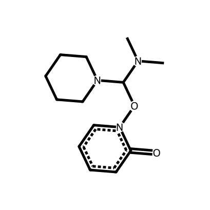 CN(C)C(On1ccccc1=O)N1CCCCC1